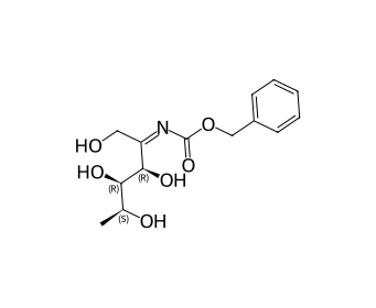 C[C@H](O)[C@@H](O)[C@H](O)C(CO)=NC(=O)OCc1ccccc1